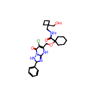 O=C1C(Cl)=C(COC2(C(=O)NCC3(CO)CCC3)CCCCC2)NC2=NC(c3ccccc3)NN12